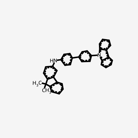 CC1(C)c2ccccc2-c2cc(Nc3ccc(-c4ccc(-n5c6ccccc6c6ccccc65)cc4)cc3)ccc21